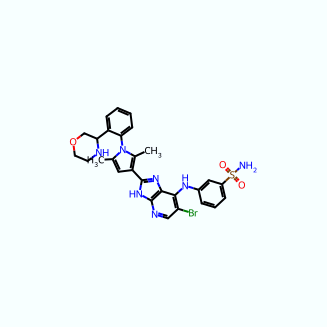 Cc1cc(-c2nc3c(Nc4cccc(S(N)(=O)=O)c4)c(Br)cnc3[nH]2)c(C)n1-c1ccccc1C1COCCN1